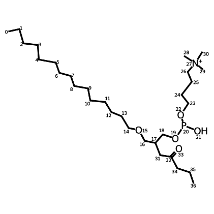 CCCCCCCCCCCCCCCOCC(COP(O)OCCCC[N+](C)(C)C)CC(=O)CCC